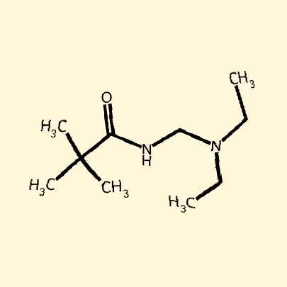 CCN(CC)CNC(=O)C(C)(C)C